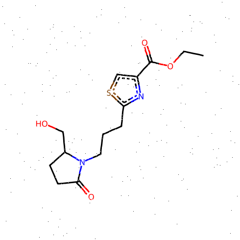 CCOC(=O)c1csc(CCCN2C(=O)CCC2CO)n1